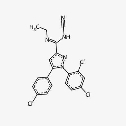 CCN=C(NC#N)c1cc(-c2ccc(Cl)cc2)n(-c2ccc(Cl)cc2Cl)n1